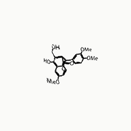 COc1ccc(-c2c3c(CO)c(O)c4cc(OC)c(cc24)OC3=O)cc1OC